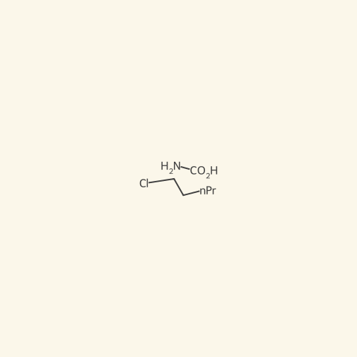 CCCCCCl.NC(=O)O